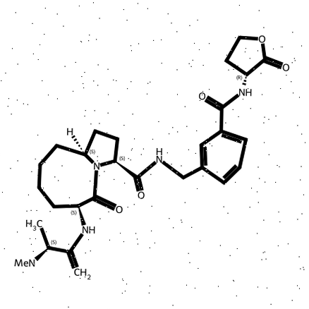 C=C(N[C@H]1CCCC[C@H]2CC[C@@H](C(=O)NCc3cccc(C(=O)N[C@@H]4CCOC4=O)c3)N2C1=O)[C@H](C)NC